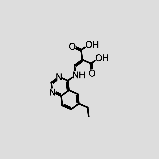 CCc1ccc2ncnc(NC=C(C(=O)O)C(=O)O)c2c1